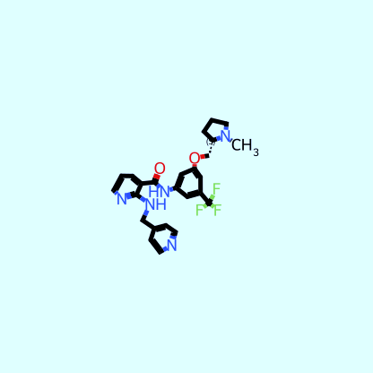 CN1CCC[C@H]1COc1cc(NC(=O)c2cccnc2NCc2ccncc2)cc(C(F)(F)F)c1